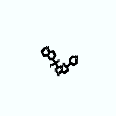 FC(F)(c1ccc2ncccc2c1)c1nnc2ccc(C3=CC=NCC3)nn12